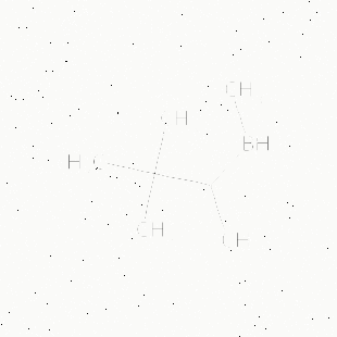 CBC(C)C(C)(C)C